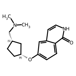 CN(C)C[C@H]1CC[C@@H](Oc2ccc3c(=O)[nH]ccc3c2)C1